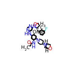 C=CC(=O)Nc1cc(Nc2cc(N3OCC[C@@H]3Cc3cccc(F)c3C)ncn2)c(OC)cc1N1CCC(N2C[C@H]3C[C@@H]2CO3)CC1